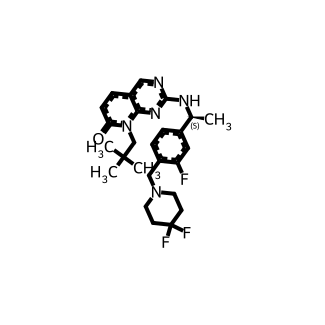 C[C@H](Nc1ncc2ccc(=O)n(CC(C)(C)C)c2n1)c1ccc(CN2CCC(F)(F)CC2)c(F)c1